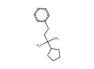 CC(C)(COc1ccccc1)C1SCCS1